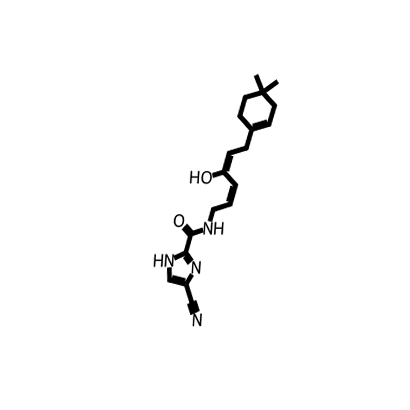 CC1(C)CC=C(C/C=C(O)\C=C/CNC(=O)c2nc(C#N)c[nH]2)CC1